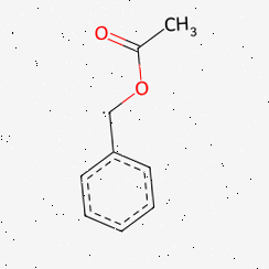 CC(=O)O[CH]c1ccccc1